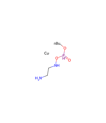 CCCCO[PH](=O)ONCCN.[Cu]